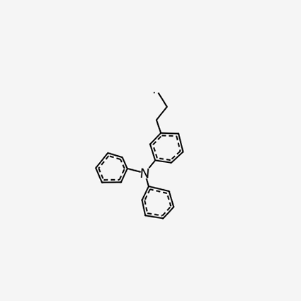 [CH2]CCc1cccc(N(c2ccccc2)c2ccccc2)c1